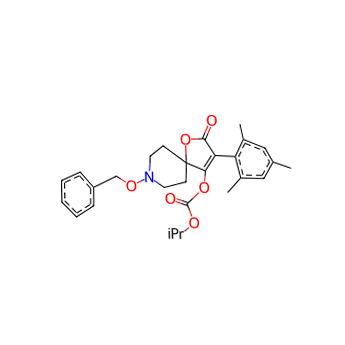 Cc1cc(C)c(C2=C(OC(=O)OC(C)C)C3(CCN(OCc4ccccc4)CC3)OC2=O)c(C)c1